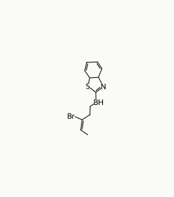 C/C=C(/Br)CCBC1=NC2C=CC=CC2S1